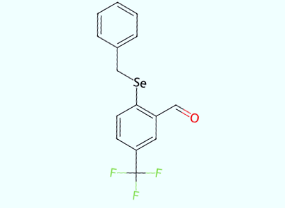 O=Cc1cc(C(F)(F)F)ccc1[Se]Cc1ccccc1